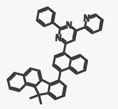 CC1(C)c2cccc(-c3ccc(-c4cc(-c5ccccn5)nc(-c5ccccc5)n4)c4ccccc34)c2-c2ccc3ccccc3c21